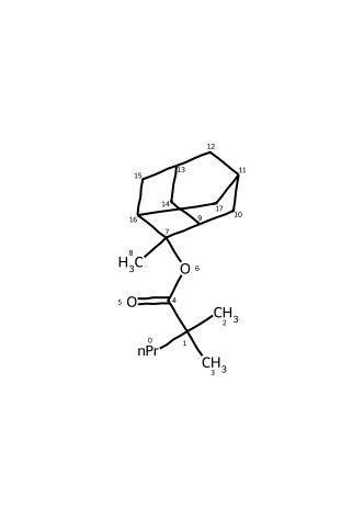 CCCC(C)(C)C(=O)OC1(C)C2CC3CC(C2)CC1C3